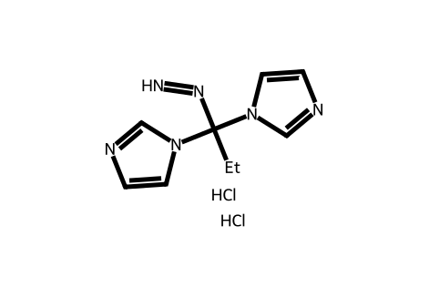 CCC(N=N)(n1ccnc1)n1ccnc1.Cl.Cl